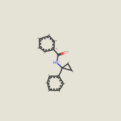 O=C(NC1(c2ccccc2)CC1)c1ccccc1